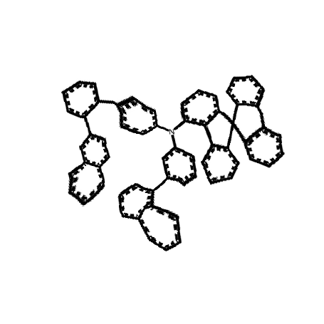 c1cc(-c2cccc3ccccc23)cc(N(c2ccc(-c3ccccc3-c3ccc4ccccc4c3)cc2)c2cccc3c2-c2ccccc2C32c3ccccc3-c3ccccc32)c1